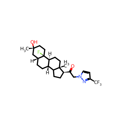 C[C@@]1(O)CC[C@@]2(F)[C@H](CC[C@H]3C4CC[C@H](C(=O)Cn5ccc(C(F)(F)F)n5)[C@@]4(C)CC[C@@H]32)C1